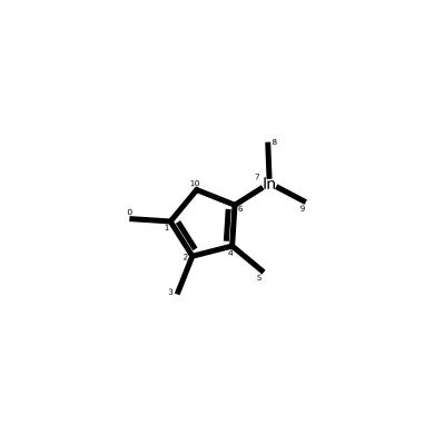 CC1=C(C)C(C)=[C]([In]([CH3])[CH3])C1